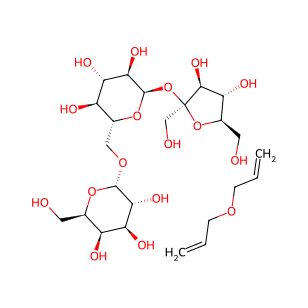 C=CCOCC=C.OC[C@H]1O[C@H](OC[C@H]2O[C@H](O[C@]3(CO)O[C@H](CO)[C@@H](O)[C@@H]3O)[C@H](O)[C@@H](O)[C@@H]2O)[C@H](O)[C@@H](O)[C@H]1O